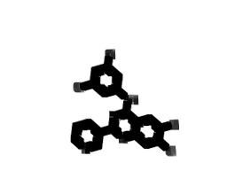 Clc1cc(Cl)cc(Nc2nc(-c3cccnc3)nc3cc(Cl)c(Cl)cc23)c1